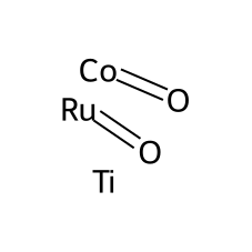 [O]=[Co].[O]=[Ru].[Ti]